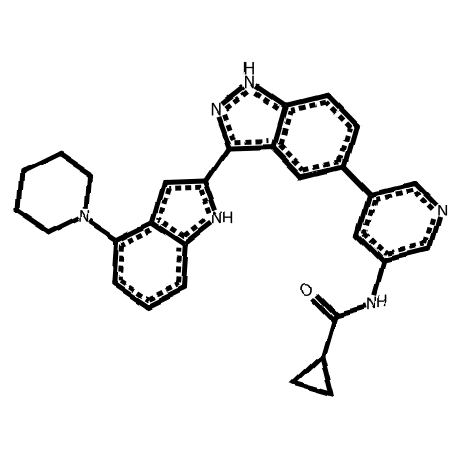 O=C(Nc1cncc(-c2ccc3[nH]nc(-c4cc5c(N6CCCCC6)cccc5[nH]4)c3c2)c1)C1CC1